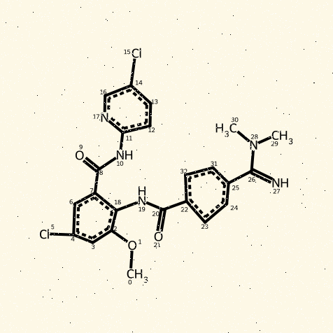 COc1cc(Cl)cc(C(=O)Nc2ccc(Cl)cn2)c1NC(=O)c1ccc(C(=N)N(C)C)cc1